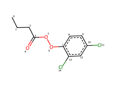 CCCC(=O)OOc1ccc(Cl)cc1Cl